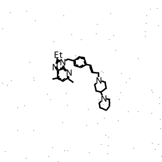 CCc1nc2c(C)cc(C)nc2n1Cc1ccc(C=CCN2CCC(N3CCCCC3)CC2)cc1